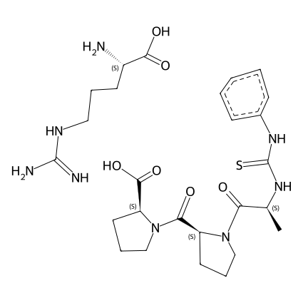 C[C@H](NC(=S)Nc1ccccc1)C(=O)N1CCC[C@H]1C(=O)N1CCC[C@H]1C(=O)O.N=C(N)NCCC[C@H](N)C(=O)O